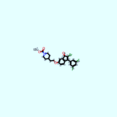 CC(C)(C)OC(=O)N1CCC(CCOc2ccc3c(c2)C(=O)C(Br)=C3c2cc(F)cc(F)c2)CC1